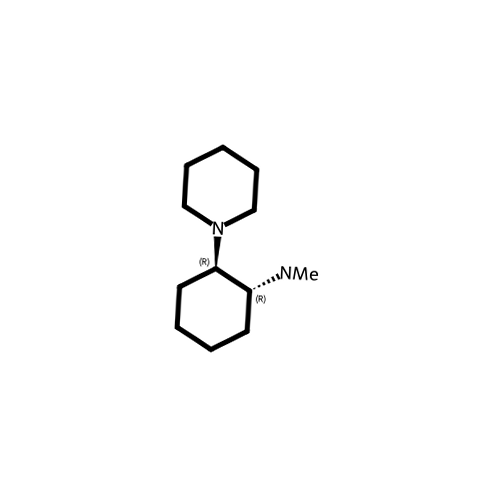 CN[C@@H]1CCCC[C@H]1N1CCCCC1